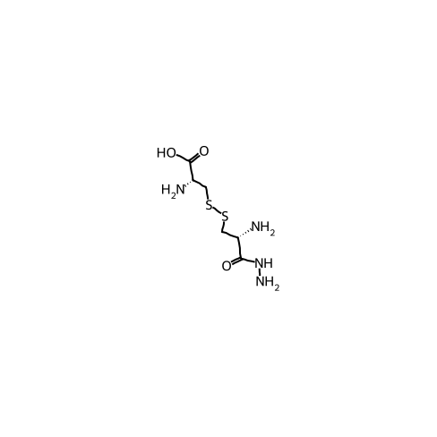 NNC(=O)[C@@H](N)CSSC[C@H](N)C(=O)O